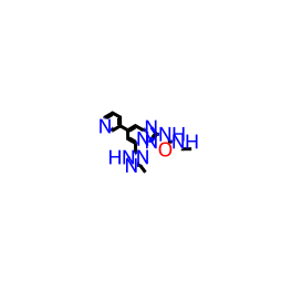 CCNC(=O)Nc1nc2cc(-c3cccnc3)cc(-c3nc(C)n[nH]3)n2n1